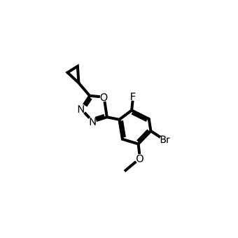 COc1cc(-c2nnc(C3CC3)o2)c(F)cc1Br